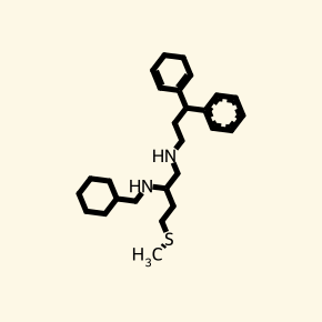 CSCCC(CNCCC(C1=CCCC=C1)c1ccccc1)NCC1CCCCC1